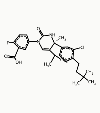 CC(C)C1=CN(c2ccc(F)c(C(=O)O)c2)C(=O)N[C@@]1(C)c1ccc(CCC(C)(C)C)c(Cl)c1